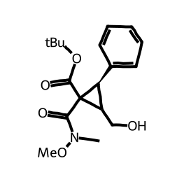 CON(C)C(=O)C1(C(=O)OC(C)(C)C)C(CO)[C@@H]1c1ccccc1